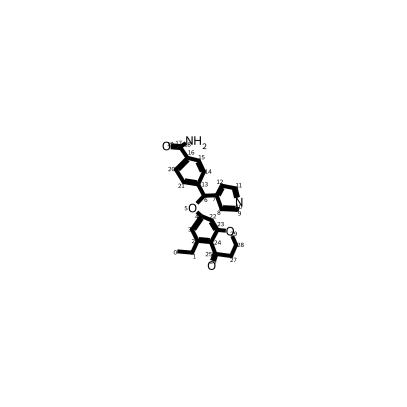 CCc1cc(OC(c2ccncc2)c2ccc(C(N)=O)cc2)cc2c1C(=O)CCO2